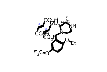 CCOc1ccc(OC(F)(F)F)cc1CN1CCN[C@@H](C)C1.O=C(O)/C=C/C(=O)O.O=C(O)/C=C/C(=O)O